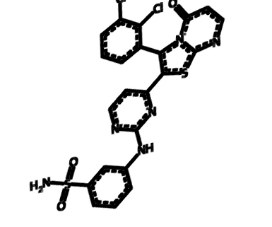 NS(=O)(=O)c1cccc(Nc2nccc(-c3sc4nccc(=O)n4c3-c3cccc(Cl)c3Cl)n2)c1